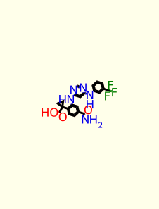 NC(=O)c1ccc(C2(C(=O)O)CC2)c(Nc2cc(Nc3cccc(C(F)(F)F)c3)ncn2)c1